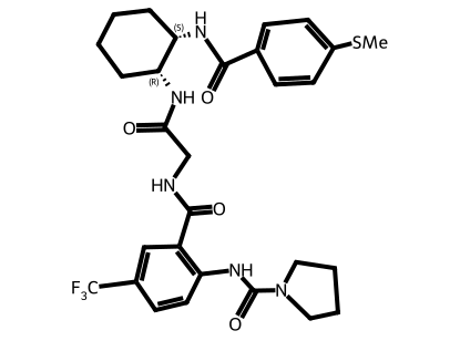 CSc1ccc(C(=O)N[C@H]2CCCC[C@H]2NC(=O)CNC(=O)c2cc(C(F)(F)F)ccc2NC(=O)N2CCCC2)cc1